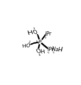 CC(C)P(O)(O)(O)C(C)C.[NaH]